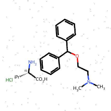 CC(C)[C@H](N)C(=O)O.CN(C)CCOC(c1ccccc1)c1ccccc1.Cl